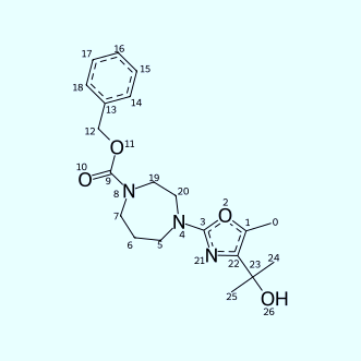 Cc1oc(N2CCCN(C(=O)OCc3ccccc3)CC2)nc1C(C)(C)O